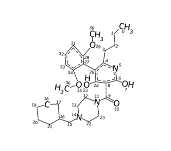 CCCCc1nc(O)c(C(=O)N2CCN(CC3CCCCC3)CC2)c(O)c1-c1c(OC)cccc1OC